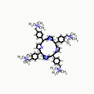 C[N+](C)(C)Cc1ccc(-c2c3nc(c(-c4ccc(C[N+](C)(C)C)cc4)c4ccc([nH]4)c(-c4ccc(C[N+](C)(C)C)cc4)c4nc(c(-c5ccc(C[N+](C)(C)C)cc5)c5ccc2[nH]5)C=C4)C=C3)cc1